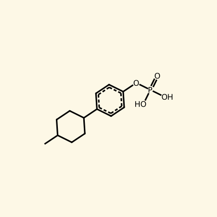 CC1CCC(c2ccc(OP(=O)(O)O)cc2)CC1